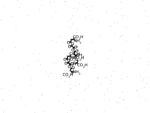 N[C@@H](CC(=O)O)C(=O)O.N[C@@H](CC(=O)OC(=O)C(=O)OC(=O)C[C@H](N)C(=O)O)C(=O)O.N[C@@H](CC(=O)OC(=O)C(=O)OC(=O)C[C@H](N)C(=O)O)C(=O)O